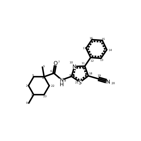 CC1CCC(C)(C(=O)Nc2nc(-c3ccccc3)c(C#N)s2)CC1